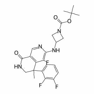 CC(C)(C)OC(=O)N1CC(Nc2ncc3c(c2F)C(C)(c2cccc(F)c2F)CNC3=O)C1